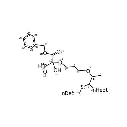 CCCCCCCCCCCSC(CCCCCCC)C(C)OCCCOC(O)([PH2]=O)C(=O)OCc1ccccc1